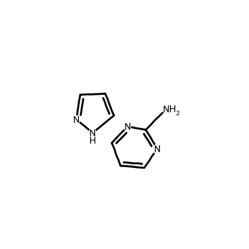 Nc1ncccn1.c1cn[nH]c1